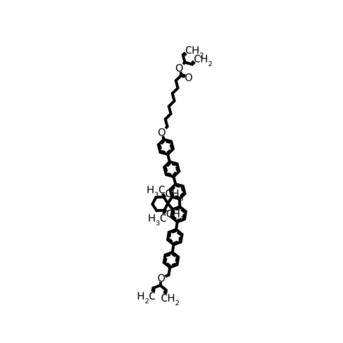 C=CC(C=C)OCc1ccc(-c2ccc(-c3ccc4c(c3)C3(c5cc(-c6ccc(-c7ccc(OCCCCCCCCC(=O)OC(C=C)C=C)cc7)cc6)ccc5-4)C(C)(C)CCCC3(C)C)cc2)cc1